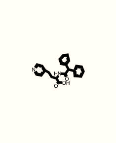 O=C(O)C(CCc1ccncc1)NC(=O)C(c1ccccc1)c1ccccc1